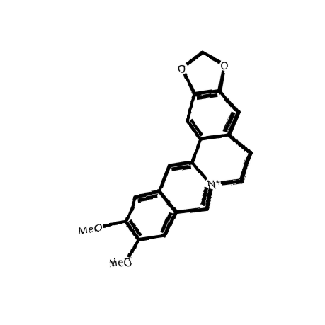 COc1cc2cc3[n+](cc2cc1OC)CCc1cc2c(cc1-3)OCO2